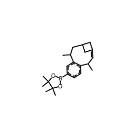 CC1C=C2CC(C2)CC(C)c2cc(B3OC(C)(C)C(C)(C)O3)ccc21